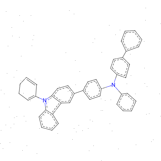 C1=CC(n2c3ccccc3c3cc(-c4ccc(N(c5ccccc5)c5ccc(-c6ccccc6)cc5)cc4)ccc32)=CCC1